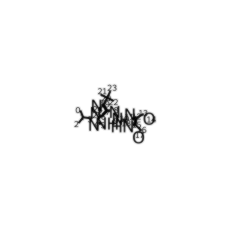 CC(C)c1n[nH]c2c(N=Nc3nc(C=O)c(C=O)[nH]3)c(C(C)(C)C)nn12